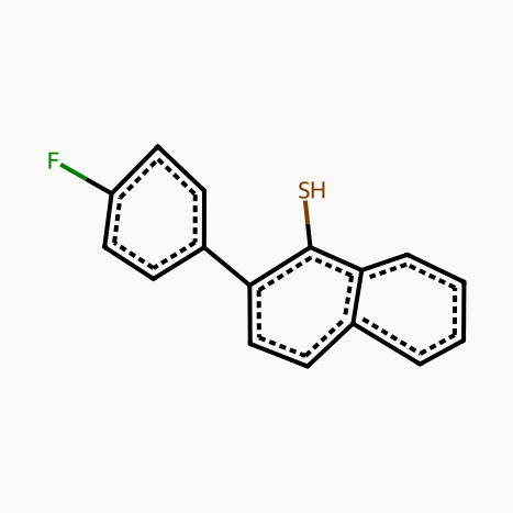 Fc1ccc(-c2ccc3ccccc3c2S)cc1